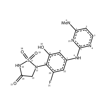 CNc1ccnc(Nc2cc(O)c(N3CC(=O)NS3(=O)=O)c(F)c2)n1